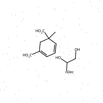 CC1(C(=O)O)C=CC=C(C(=O)O)C1.CCCCCCCCCCC(O)CO